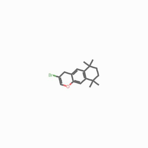 CC1(C)CCC(C)(C)c2cc3c(cc21)CC(Br)=CO3